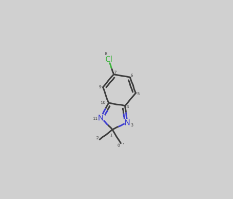 [CH2]C1(C)N=c2ccc(Cl)cc2=N1